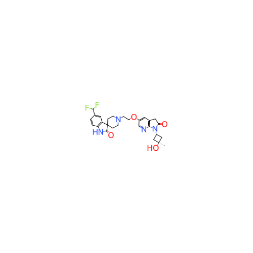 C[C@]1(O)C[C@H](N2C(=O)Cc3cc(OCCN4CCC5(CC4)C(=O)Nc4ccc(C(F)F)cc45)cnc32)C1